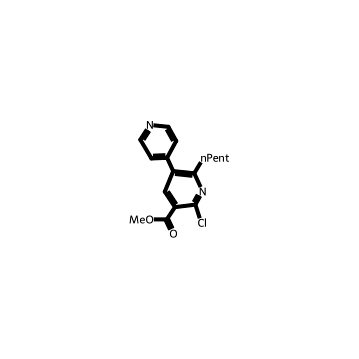 CCCCCc1nc(Cl)c(C(=O)OC)cc1-c1ccncc1